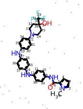 Cn1cccc1C(=O)Nc1ccc(Nc2ccc(Nc3ccc(N4CCC(O)(C(F)(F)F)CC4)cc3)cc2)cc1